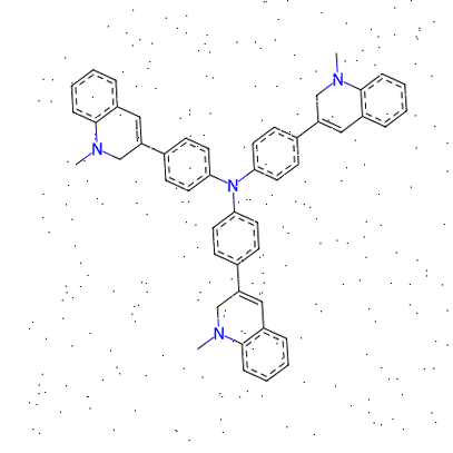 CN1CC(c2ccc(N(c3ccc(C4=Cc5ccccc5N(C)C4)cc3)c3ccc(C4=Cc5ccccc5N(C)C4)cc3)cc2)=Cc2ccccc21